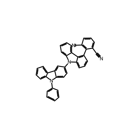 N#Cc1cccc(C#N)c1-c1cccc2c1c1ccccc1n2-c1ccc2c(c1)c1ccccc1n2-c1ccccc1